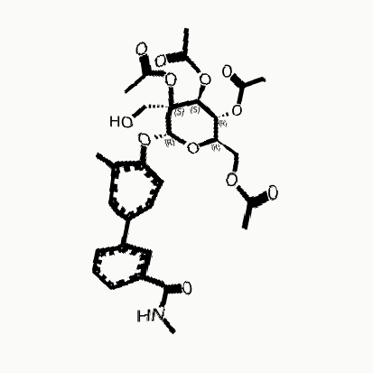 CNC(=O)c1cccc(-c2ccc(O[C@H]3O[C@H](COC(C)=O)[C@@H](OC(C)=O)[C@H](OC(C)=O)[C@]3(CO)OC(C)=O)c(C)c2)c1